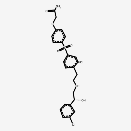 Cl.NC(=O)COc1ccc(S(=O)(=O)c2ccc(CCNC[C@H](O)c3cccc(Cl)c3)cc2)cc1